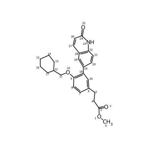 COC(=O)CCc1ccc(OCC2CCCCC2)c(-c2ccc3[nH]c(=O)ccc3c2)c1